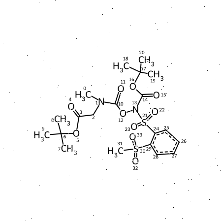 CN(CC(=O)OC(C)(C)C)C(=O)ON(C(=O)OC(C)(C)C)S(=O)(=O)c1ccccc1S(C)(=O)=O